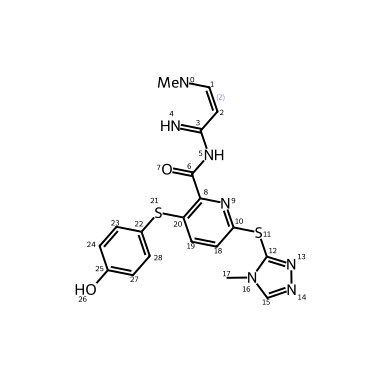 CN/C=C\C(=N)NC(=O)c1nc(Sc2nncn2C)ccc1Sc1ccc(O)cc1